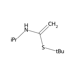 C=C(NC(C)C)SC(C)(C)C